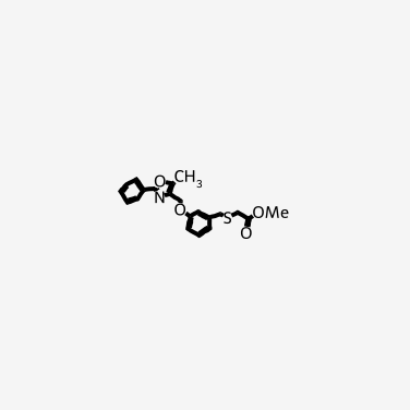 COC(=O)CSCc1cccc(OCc2nc(-c3ccccc3)oc2C)c1